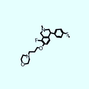 CSc1ccc(C2CN(C)Cc3c2ccc(OCCCN2CCOCC2)c3F)cc1